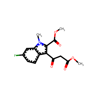 COC(=O)CC(=O)c1c(C(=O)OC)n(C)c2cc(F)ccc12